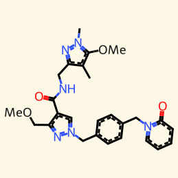 COCc1nn(Cc2ccc(Cn3ccccc3=O)cc2)cc1C(=O)NCc1nn(C)c(OC)c1C